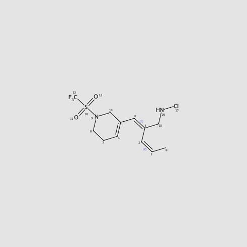 C/C=C\C(=C/C1=CCCN(S(=O)(=O)C(F)(F)F)C1)CNCl